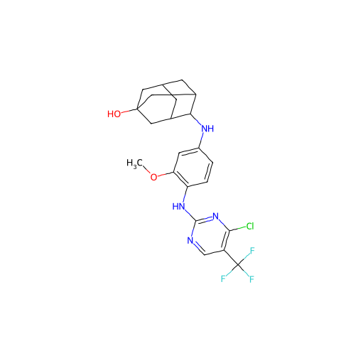 COc1cc(NC2C3CC4CC2CC(O)(C4)C3)ccc1Nc1ncc(C(F)(F)F)c(Cl)n1